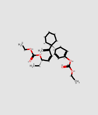 C=C(/C=C\[C@H](CC)OC(=O)OCC)C1([C@H]2C=CC(OC(=O)OCC)=CC2)CCCCC1